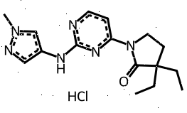 CCC1(CC)CCN(c2ccnc(Nc3cnn(C)c3)n2)C1=O.Cl